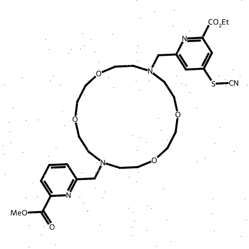 CCOC(=O)c1cc(SC#N)cc(CN2CCOCCOCCN(Cc3cccc(C(=O)OC)n3)CCOCCOCC2)n1